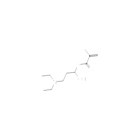 C=C(C)C(=O)OC(O)CCN(CC)CC